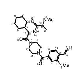 CNc1cc(C(=O)N2CCN(C(=O)[C@@H](NC(=O)[C@H](C)NC)C3CCCCC3)CC2)ccc1C=N